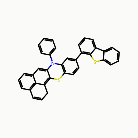 C1=Cc2cccc3cc4c(c(c23)C1)Sc1ccc(-c2cccc3c2sc2ccccc23)cc1N4c1ccccc1